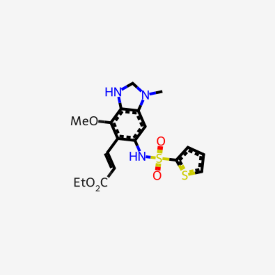 CCOC(=O)/C=C/c1c(NS(=O)(=O)c2cccs2)cc2c(c1OC)NCN2C